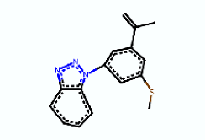 C=C(C)c1cc(SC)cc(-n2nnc3ccccc32)c1